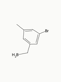 BCc1cc(C)cc(Br)c1